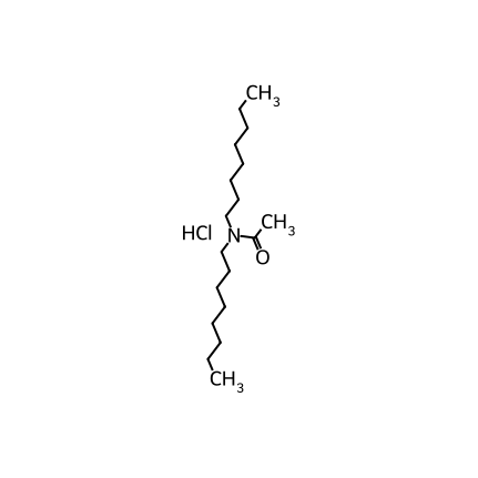 CCCCCCCCN(CCCCCCCC)C(C)=O.Cl